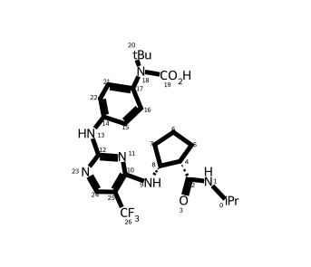 CC(C)NC(=O)[C@H]1CCC[C@H]1Nc1nc(Nc2ccc(N(C(=O)O)C(C)(C)C)cc2)ncc1C(F)(F)F